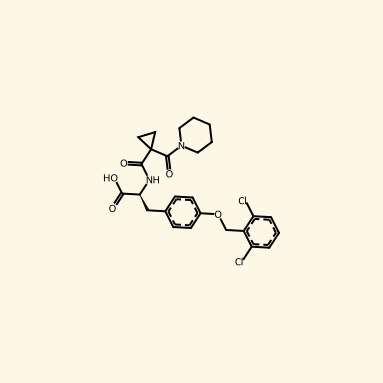 O=C(O)[C@H](Cc1ccc(OCc2c(Cl)cccc2Cl)cc1)NC(=O)C1(C(=O)N2CCCCC2)CC1